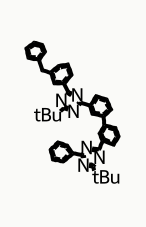 CC(C)(C)c1nc(-c2ccccc2)nc(-c2cccc(-c3cccc(-c4nc(-c5cccc(Cc6ccccc6)c5)nc(C(C)(C)C)n4)c3)c2)n1